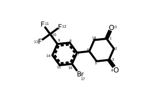 O=C1CC(=O)CC(c2cc(C(F)(F)F)ccc2Br)C1